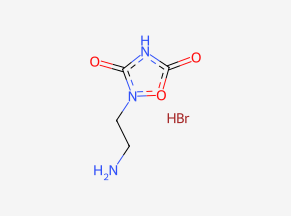 Br.NCCn1oc(=O)[nH]c1=O